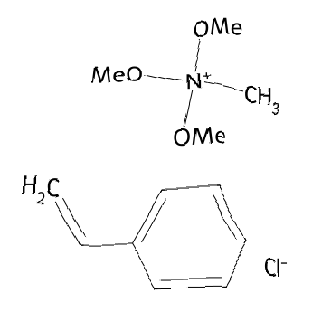 C=Cc1ccccc1.CO[N+](C)(OC)OC.[Cl-]